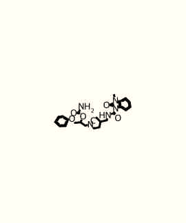 Cn1c(=O)n(C(=O)NCC2CCN(CC(COc3ccccc3)OC(N)=O)CC2)c2ccccc21